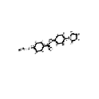 CCCCCC1CCC(C(=O)OC2CCC(N3CCCC3)CC2)CC1